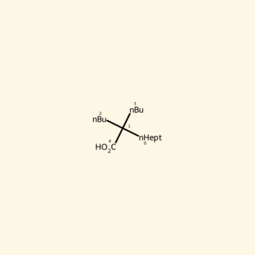 CCCCCCCC(CCCC)(CCCC)C(=O)O